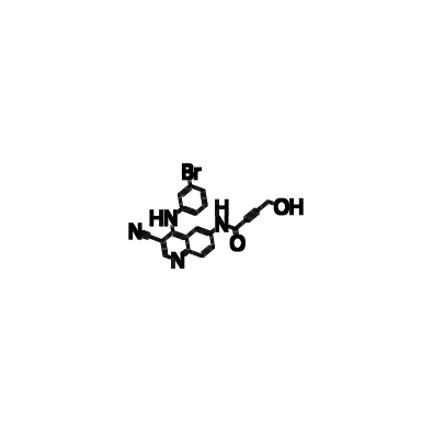 N#Cc1cnc2ccc(NC(=O)C#CCO)cc2c1Nc1cccc(Br)c1